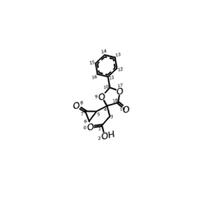 O=C(O)CC1(C2CC2=O)OC(c2ccccc2)OC1=O